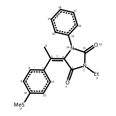 CCN1C(=O)/C(=C(/C)c2ccc(SC)cc2)N(c2ccccc2)C1=O